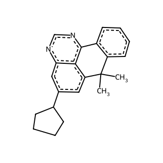 CC1(C)c2ccccc2-c2ncnc3cc(C4CCCC4)cc1c23